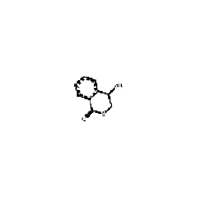 O=C1OCC(O)c2ccccc21